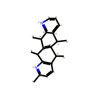 Cc1ccc2c(n1)C(C)C1=C(C(C)c3cccnc3C1C)C2C